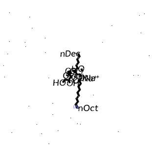 CCCCCCCC/C=C\CCCCCCCC(=O)O[C@@H](CO)C(OC(C(O)CO)P(=O)([O-])[O-])C(=O)CCCCCCCCCCCCCCC.[Na+].[Na+]